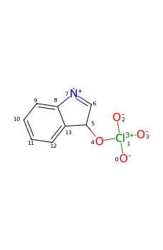 [O-][Cl+3]([O-])([O-])OC1C=[N+]c2ccccc21